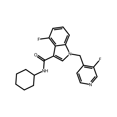 O=C(NC1CCCCC1)c1cn(Cc2ccncc2F)c2cccc(F)c12